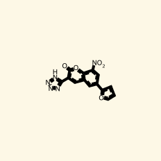 O=c1oc2c([N+](=O)[O-])cc(-c3ccco3)cc2cc1-c1nnn[nH]1